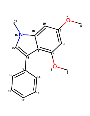 COc1cc(OC)c2c(-c3ccccc3)cn(C)c2c1